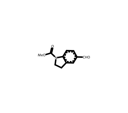 COC(=O)N1CCc2cc(C=O)ccc21